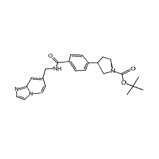 CC(C)(C)OC(=O)N1CCC(c2ccc(C(=O)NCc3ccn4ccnc4c3)cc2)C1